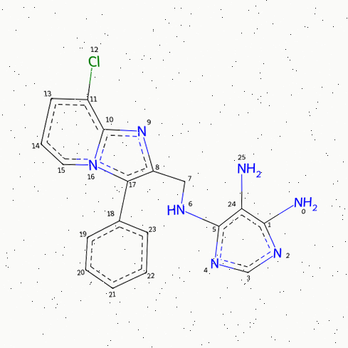 Nc1ncnc(NCc2nc3c(Cl)cccn3c2-c2ccccc2)c1N